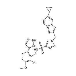 COc1ccc(N2C=NNN2)c(CNS(=O)(=O)c2cn(Cc3cn4cc(C5CC5)ccc4n3)nn2)c1F